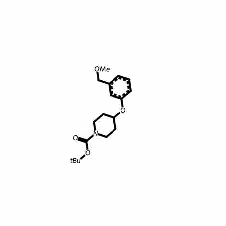 COCc1cccc(OC2CCN(C(=O)OC(C)(C)C)CC2)c1